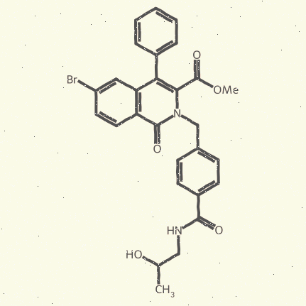 COC(=O)c1c(-c2ccccc2)c2cc(Br)ccc2c(=O)n1Cc1ccc(C(=O)NCC(C)O)cc1